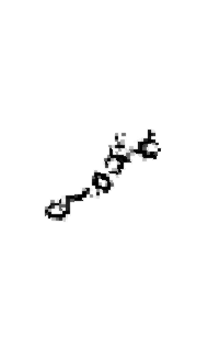 O=C1OC2(CCN(c3ccc(OCCCN4CCCCC4)cc3)CC2)CN1c1ccnc(F)c1